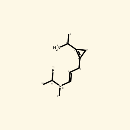 CC(N)C1=C(C/C=C/N(C)C(C)F)C1